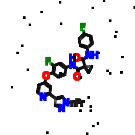 CCCn1cc(-c2cc(Oc3ccc(NC(=O)C4(C(=O)Nc5ccc(F)cc5)CC4)cc3F)ccn2)cn1